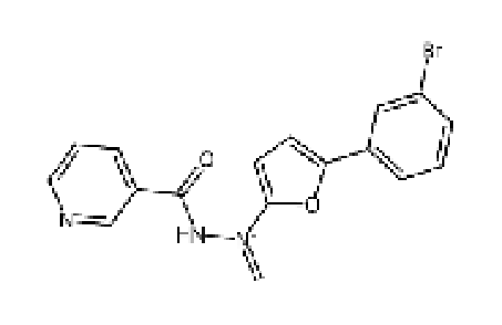 C=[N+](NC(=O)c1cccnc1)c1ccc(-c2cccc(Br)c2)o1